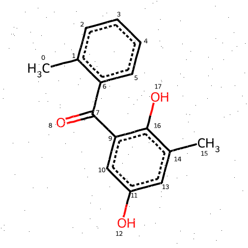 Cc1ccccc1C(=O)c1cc(O)cc(C)c1O